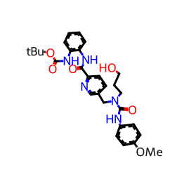 COc1ccc(NC(=O)N(CCCO)Cc2ccc(C(=O)Nc3ccccc3NC(=O)OC(C)(C)C)nc2)cc1